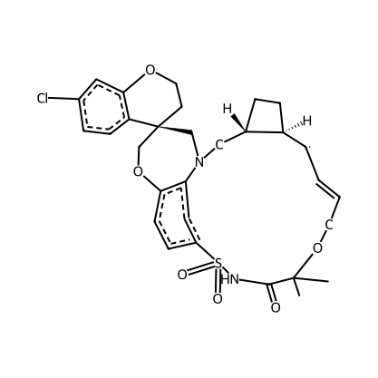 CC1(C)OC/C=C/[CH][C@@H]2CC[C@H]2CN2C[C@@]3(CCOc4cc(Cl)ccc43)COc3ccc(cc32)S(=O)(=O)NC1=O